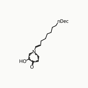 CCCCCCCCCCCCCCCCC=Cn1ccc(=O)c(O)c1